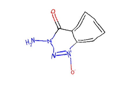 Nn1n[n+]([O-])c2ccccc2c1=O